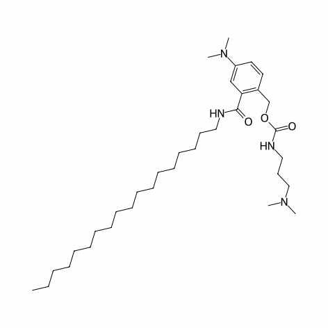 CCCCCCCCCCCCCCCCCCNC(=O)c1cc(N(C)C)ccc1COC(=O)NCCCN(C)C